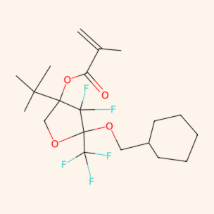 C=C(C)C(=O)OC1(C(C)(C)C)COC(OCC2CCCCC2)(C(F)(F)F)C1(F)F